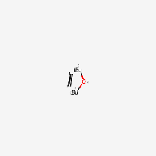 C=C.CC(C)(C)OC(C)(C)C